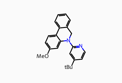 COc1ccc2c(c1)N(c1cc(C(C)(C)C)ccn1)Cc1ccccc1-2